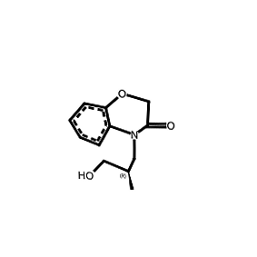 C[C@@H](CO)CN1C(=O)COc2ccccc21